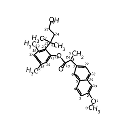 COc1ccc2cc([C@H](C)C(=O)Oc3cc(C)cc(C)c3C(C)(C)CCO)ccc2c1